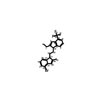 CCC1=Cc2c(cccc2C(F)(F)F)C1CCC1C(C)=Cc2c(Br)cccc21